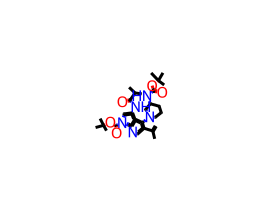 C=C(C)c1cnc2c(c(NC(=O)C(C)C)cn2C(=O)OC(C)(C)C)c1N1CCCC(NC(=O)OC(C)(C)C)C1